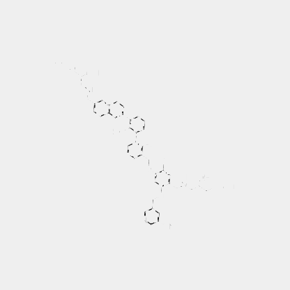 Cc1c(COc2cc(OCc3cncc(C#N)c3)c(CNCC(O)CC(=O)O)cc2Cl)cccc1-c1cccc(-c2ccc3cc(CNCC(O)CC(=O)O)ccc3c2)c1C